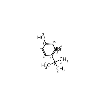 Br.CC(C)(C)c1ccc(O)cc1